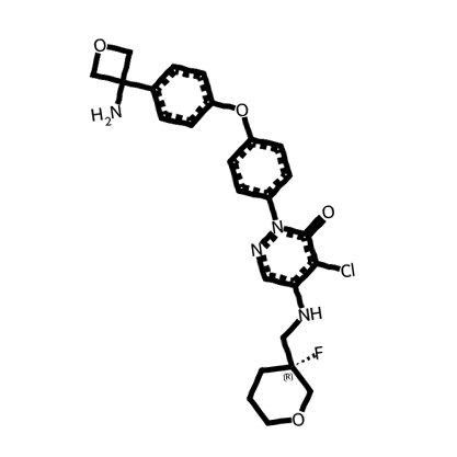 NC1(c2ccc(Oc3ccc(-n4ncc(NC[C@]5(F)CCCOC5)c(Cl)c4=O)cc3)cc2)COC1